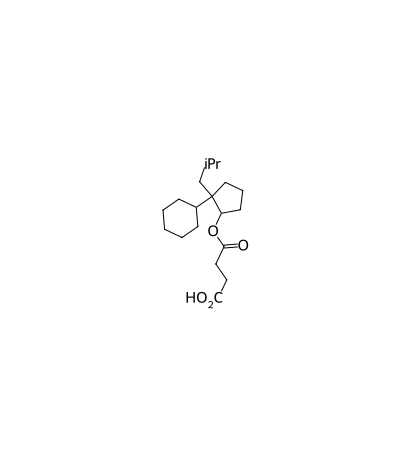 CC(C)CC1(C2CCCCC2)CCCC1OC(=O)CCC(=O)O